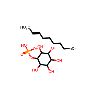 CCCCCCCCCCCCCCCC=CC(=O)O.O=P(O)(O)OC1C(O)C(O)C(O)C(O)C1O